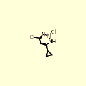 ClC1=NN(Cl)NC(C2CC2)=C1